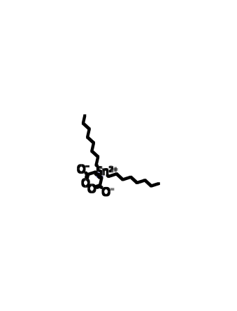 CCCCCCC[CH2][Sn+2][CH2]CCCCCCC.O=C([O-])/C=C\C(=O)[O-]